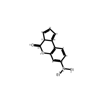 CCN(CC)c1ccc2c(c1)OC(=O)C1C=CC=C21